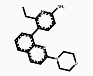 CCc1nc(N)ccc1-c1cccc2ccc(N3CCOCC3)nc12